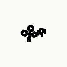 CC1=NCCN1[C@H]1CC[C@@H](C(C#N)(c2ccccc2)c2ccccc2)C1